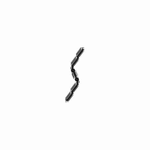 FC(F)(F)C(F)(F)C(F)(F)C(F)(F)C(F)(F)C(F)(F)/C=C/C(F)(F)C(F)(F)C(F)(F)C(F)(F)C(F)(F)C(F)(F)CCOc1ccc(C(F)(F)C(F)(F)C(F)(F)C(F)(F)c2ccc(OCCC(F)(F)C(F)(F)C(F)(F)C(F)(F)C(F)(F)C(F)(F)/C=C/C(F)(F)C(F)(F)C(F)(F)C(F)(F)C(F)(F)C(F)(F)F)cc2)cc1